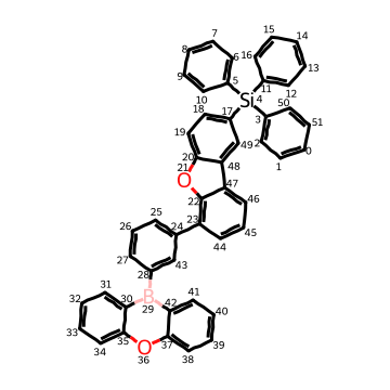 c1ccc([Si](c2ccccc2)(c2ccccc2)c2ccc3oc4c(-c5cccc(B6c7ccccc7Oc7ccccc76)c5)cccc4c3c2)cc1